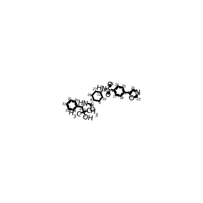 CC(C)(O)[C@@H](NC(=O)[C@H]1CC[C@H](NS(=O)(=O)c2ccc(-c3cnco3)cc2)CC1)c1ccccc1